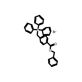 O=C(OCc1ccccc1)c1ccc(C[P+](c2ccccc2)(c2ccccc2)c2ccccc2)cc1.[Br-]